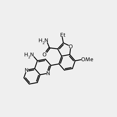 CCc1oc2c(OC)ccc(-c3cc(N)c4ncccc4n3)c2c1C(N)=O